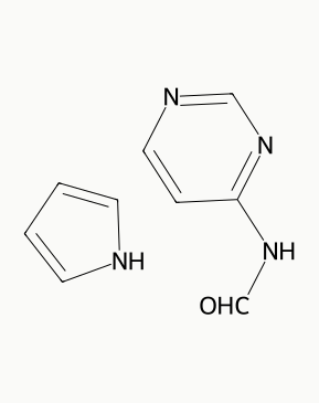 O=CNc1ccncn1.c1cc[nH]c1